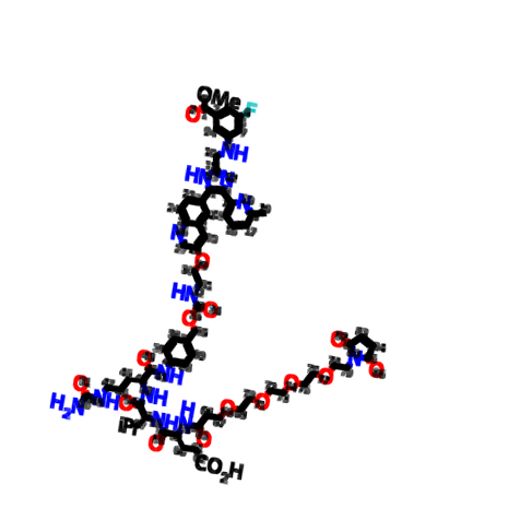 COC(=O)c1cc(F)cc(NCc2nc(-c3cccc(C)n3)c(-c3ccc4ncc(OCCNC(=O)OCc5ccc(NC(=O)[C@H](CCCNC(N)=O)NC(=O)[C@@H](NC(=O)[C@H](CCC(=O)O)NC(=O)CCOCCOCCOCCOCCN6C(=O)C=CC6=O)C(C)C)cc5)cc4c3)[nH]2)c1